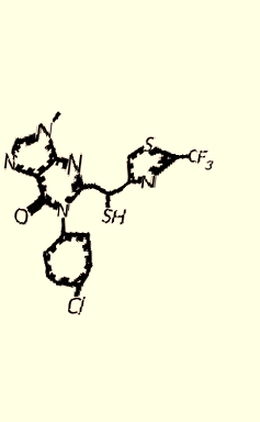 Cn1cnc2c(=O)n(-c3ccc(Cl)cc3)c(C(S)c3csc(C(F)(F)F)n3)nc21